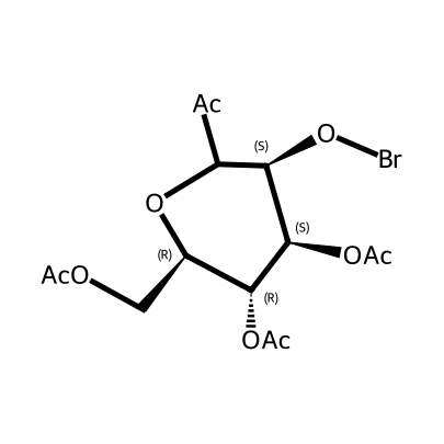 CC(=O)OC[C@H]1OC(C(C)=O)[C@@H](OBr)[C@@H](OC(C)=O)[C@@H]1OC(C)=O